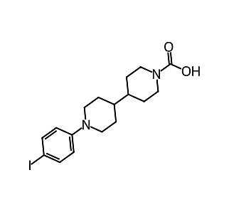 O=C(O)N1CCC(C2CCN(c3ccc(I)cc3)CC2)CC1